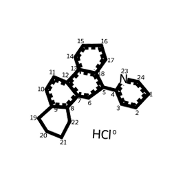 Cl.c1ccc(-c2cc3c4c(ccc3c3ccccc23)CCCC4)nc1